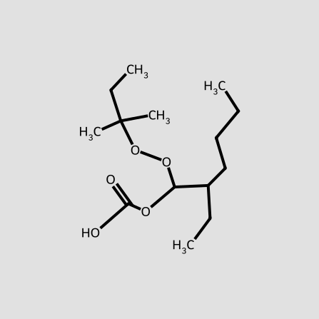 CCCCC(CC)C(OOC(C)(C)CC)OC(=O)O